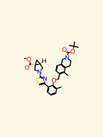 COC(=O)[C@]12C[C@H]1CN(c1nc(-c3cccc(C)c3OCc3ccc4c(c3C)CCN(C(=O)OC(C)(C)C)C4)cs1)C2